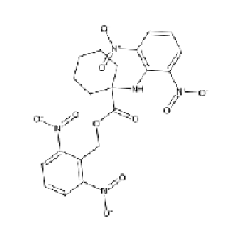 O=C(OCc1c([N+](=O)[O-])cccc1[N+](=O)[O-])C1(Nc2c([N+](=O)[O-])cccc2[N+](=O)[O-])CCCCC1